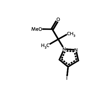 COC(=O)C(C)(C)n1cc(I)cn1